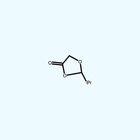 CC(C)C1OCC(=O)O1